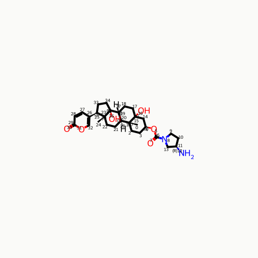 C[C@]12CC[C@H](OC(=O)N3CC[C@@H](N)C3)C[C@@]1(O)CC[C@@H]1[C@@H]2CC[C@]2(C)[C@@H](c3ccc(=O)oc3)CC[C@]12O